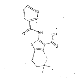 CC1(C)CCc2sc(NC(=O)c3cncnc3)c(C(=O)O)c2C1